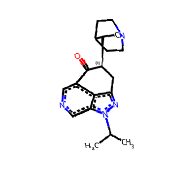 CC(C)n1nc2c3c(cncc31)C(=O)[C@@H](C1CN3CCC1CC3)C2